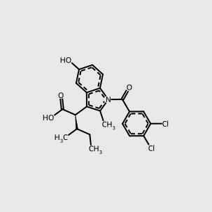 CCC(C)[C@@H](C(=O)O)c1c(C)n(C(=O)c2ccc(Cl)c(Cl)c2)c2ccc(O)cc12